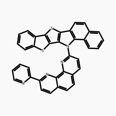 c1ccc(-c2ccc3ccc4ccc(-n5c6c7ccccc7ccc6c6sc7c8ccccc8sc7c65)nc4c3n2)nc1